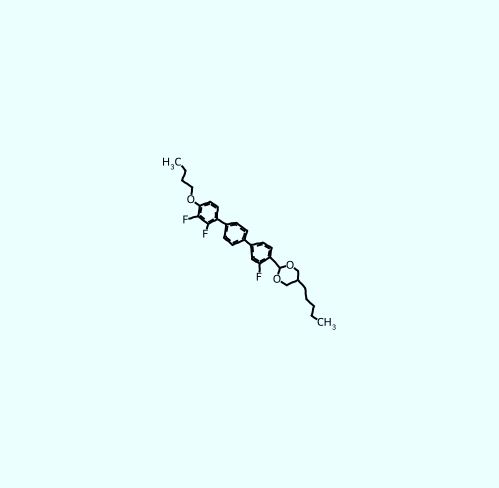 CCCCCC1COC(c2ccc(-c3ccc(-c4ccc(OCCCC)c(F)c4F)cc3)cc2F)OC1